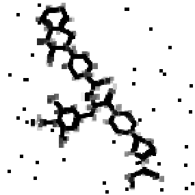 COC(=O)c1csc(N2CCN(C(=O)[C@@H](Cc3cc(Br)c(N)c(Br)c3)NC(=O)N3CCC(N4Cc5ccccc5NC4=O)CC3)CC2)n1